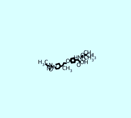 CCc1noc(N2CCC(C(C)CCOc3ccc([C@H](NC(=O)OC(C)(C)C)C(=O)O)cc3)CC2)n1